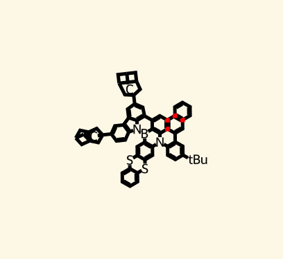 CC(C)(C)c1ccc(N2c3cc4c(cc3B3c5c(cc(-c6ccccc6)cc52)-c2cc(C56CC7CC8CC(C5)C87C6)cc5c6cc(C78CC9CC%10CC9(C7)C%10C8)ccc6n3c25)Sc2ccccc2S4)c(-c2ccccc2)c1